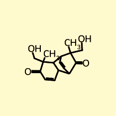 CC1(CO)C(=O)C2C=CC1C1C2C=CC(=O)C1(C)CO